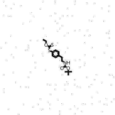 CCOC(=S)Sc1ccc(CCNC(=O)OC(C)(C)C)cc1